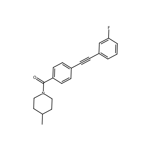 CC1CCN(C(=O)c2ccc(C#Cc3cccc(F)c3)cc2)CC1